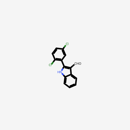 O=Cc1c(-c2cc(Cl)ccc2Cl)[nH]c2ccccc12